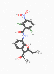 CCc1oc2c(NC(=O)c3c(Cl)ccc([N+](=O)[O-])c3Cl)cccc2c1C(C)=O